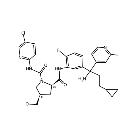 Cc1cc(C(N)(CCC2CC2)c2ccc(F)c(NC(=O)[C@H]3C[C@@H](CO)CN3C(=O)Nc3ccc(Cl)cn3)c2)ccn1